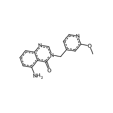 COc1cc(Cn2cnc3cccc(N)c3c2=O)ccn1